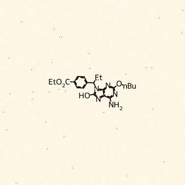 CCCCOc1nc(N)c2nc(O)n(C(CC)c3ccc(C(=O)OCC)cc3)c2n1